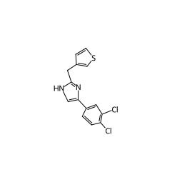 Clc1ccc(-c2c[nH]c(Cc3ccsc3)n2)cc1Cl